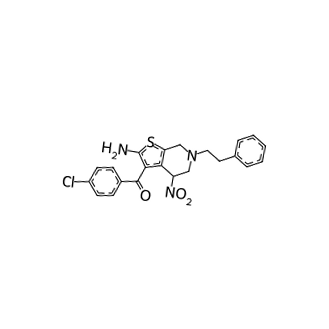 Nc1sc2c(c1C(=O)c1ccc(Cl)cc1)C([N+](=O)[O-])CN(CCc1ccccc1)C2